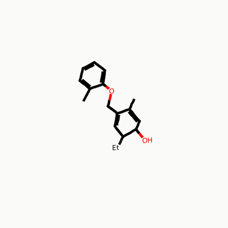 CCC1C=C(COc2ccccc2C)C(C)=CC1O